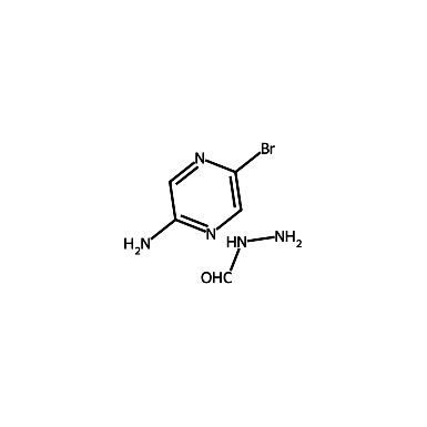 NNC=O.Nc1cnc(Br)cn1